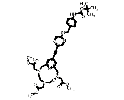 COC(=O)CN1CCN(CC(=O)OC)Cc2cc(C#Cc3cnc(NCc4ccc(NC(=O)OC(C)(C)C)cc4)cn3)cc(n2)CN(CC(=O)OC)CC1